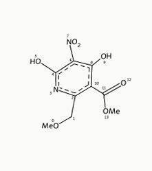 COCc1nc(O)c([N+](=O)[O-])c(O)c1C(=O)OC